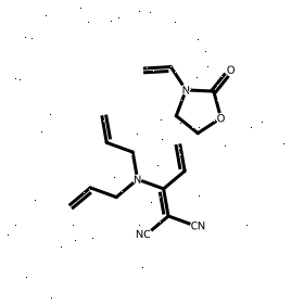 C=CCN(CC=C)C(C=C)=C(C#N)C#N.C=CN1CCOC1=O